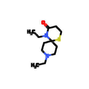 CCN1CCC2(CC1)SCCC(=O)N2CC